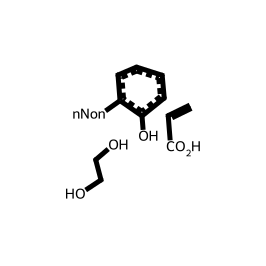 C=CC(=O)O.CCCCCCCCCc1ccccc1O.OCCO